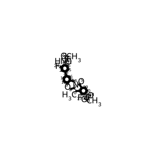 CCc1c(C(=O)N2CCOc3ccc(-c4ccc(NS(C)(=O)=O)c(F)c4)cc3C2)ccc(S(C)(=O)=O)c1F